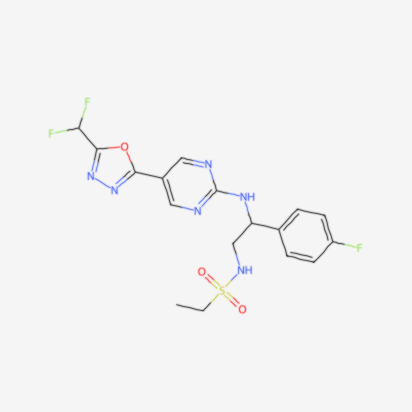 CCS(=O)(=O)NCC(Nc1ncc(-c2nnc(C(F)F)o2)cn1)c1ccc(F)cc1